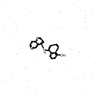 Oc1cccc2c1CCCC2Nc1ccnc2ccncc12